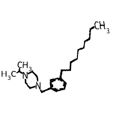 CCCCCCCCCCc1cccc(CN2CCN(C(C)C)CC2)c1